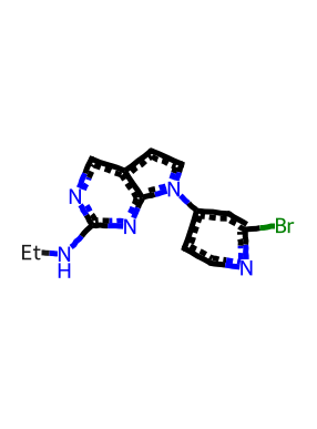 CCNc1ncc2ccn(-c3ccnc(Br)c3)c2n1